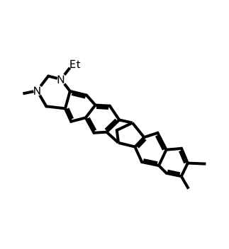 CCN1CN(C)Cc2cc3cc4c(cc3cc21)C1CC4c2cc3cc(C)c(C)cc3cc21